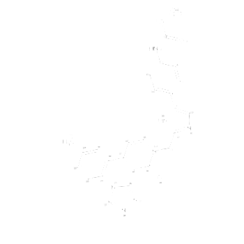 COC(=O)Nc1ccc(-c2cnc(Cn3ccc(-c4cc(C)ccc4-n4cnnn4)cc3=O)[nH]2)cc1